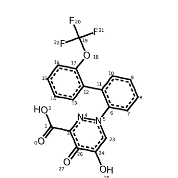 O=C(O)c1nn(-c2ccccc2-c2ccccc2OC(F)(F)F)cc(O)c1=O